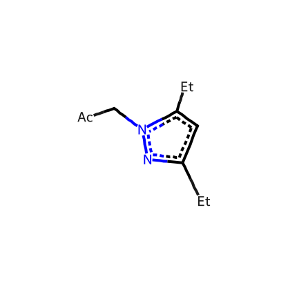 CCc1cc(CC)n(CC(C)=O)n1